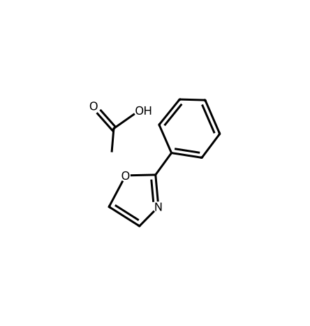 CC(=O)O.c1ccc(-c2ncco2)cc1